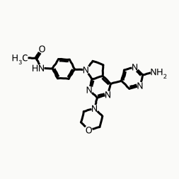 CC(=O)Nc1ccc(N2CCc3c(-c4cnc(N)nc4)nc(N4CCOCC4)nc32)cc1